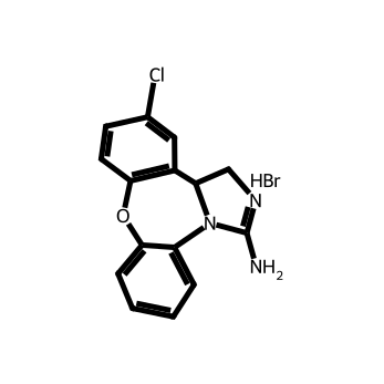 Br.NC1=NCC2c3cc(Cl)ccc3Oc3ccccc3N12